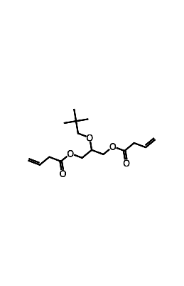 C=CCC(=O)OCC(COC(=O)CC=C)OCC(C)(C)C